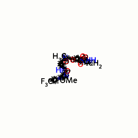 C=C1CCC(N2C(=O)c3ccc(OCCCN(C)C(=O)Cc4cccc(CNC(=O)c5cc(/C=C/[C@H]6CC[C@H](C(F)(F)F)CC6)c(OC)cn5)c4)cc3C2=O)C(=O)N1